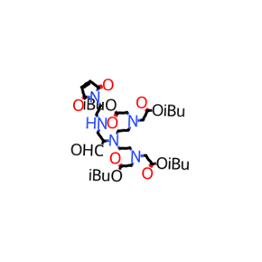 CC(C)COC(=O)CN(CCN(CCN(CC(=O)OCC(C)C)CC(=O)OCC(C)C)C(C=O)CNCCN1C(=O)C=CC1=O)CC(=O)OCC(C)C